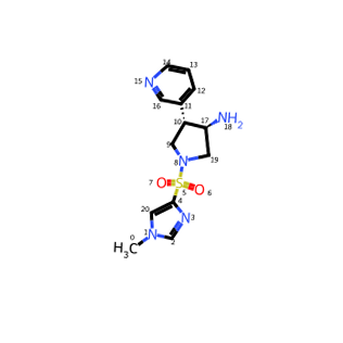 Cn1cnc(S(=O)(=O)N2C[C@H](c3cccnc3)[C@@H](N)C2)c1